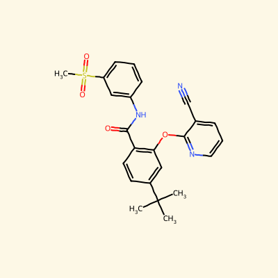 CC(C)(C)c1ccc(C(=O)Nc2cccc(S(C)(=O)=O)c2)c(Oc2ncccc2C#N)c1